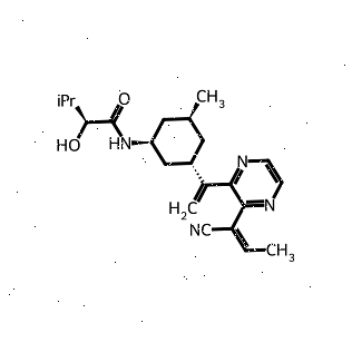 C=C(c1nccnc1/C(C#N)=C\C)[C@H]1C[C@H](C)C[C@H](NC(=O)[C@@H](O)C(C)C)C1